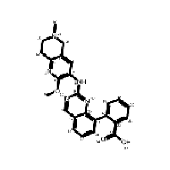 COc1nc2c(cc1Nc1ncc3cccc(-c4ccccc4C(=O)O)c3n1)CN(C)CC2